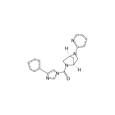 O=C(N1C[C@@H]2C[C@H]1CN2c1ccccn1)n1cnc(-c2ccccc2)c1